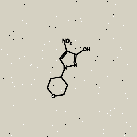 O=[N+]([O-])c1cn(C2CCOCC2)nc1O